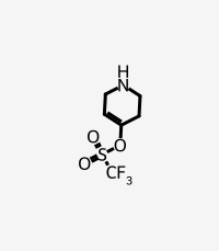 O=S(=O)(OC1=CCNCC1)C(F)(F)F